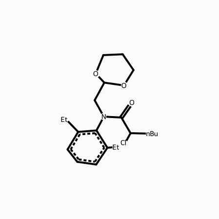 CCCCC(Cl)C(=O)N(CC1OCCCO1)c1c(CC)cccc1CC